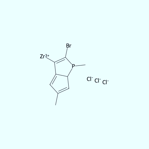 CC1=CC2C(=C1)[C]([Zr+3])=C(Br)P2C.[Cl-].[Cl-].[Cl-]